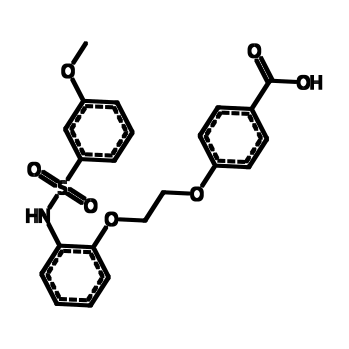 COc1cccc(S(=O)(=O)Nc2ccccc2OCCOc2ccc(C(=O)O)cc2)c1